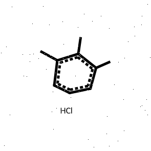 Cc1cccc(C)c1C.Cl